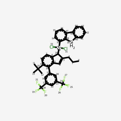 CCCC1=Cc2c(ccc(C(C)(C)C)c2-c2cc(C(F)(F)F)cc(C(F)(F)F)c2)[CH]1[Zr]([Cl])([Cl])[c]1cccc2c1[SiH2]c1ccccc1-2